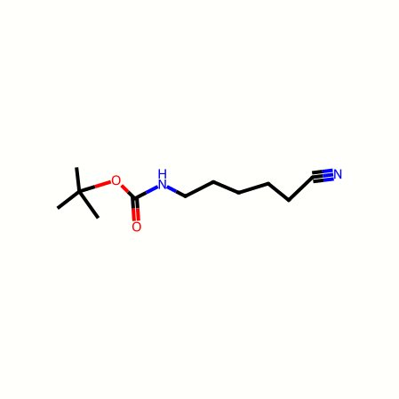 CC(C)(C)OC(=O)NCCCCCC#N